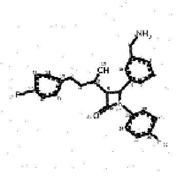 NCc1cccc(C2C(C(O)CCc3ccc(F)cc3)C(=O)N2c2ccc(F)cc2)c1